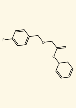 C=C(COCc1ccc(F)cc1)ON1C=CC=CC1